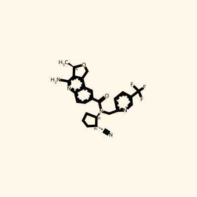 C[C@H]1OCc2c1c(N)nc1ccc(C(=O)N(Cc3ccc(C(F)(F)F)cn3)[C@@H]3CCC[C@H]3C#N)cc21